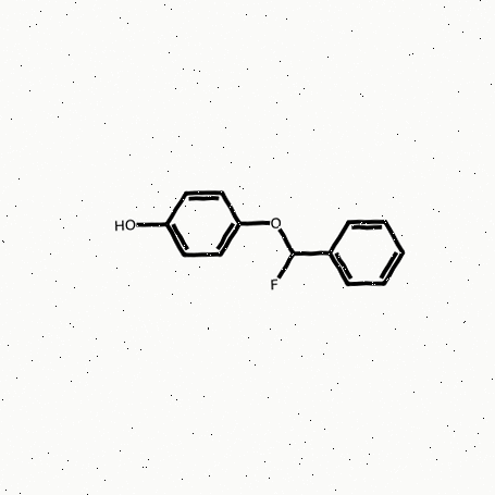 Oc1ccc(OC(F)c2ccccc2)cc1